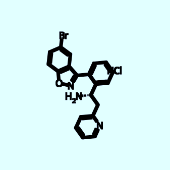 Cl.N[C@@H](Cc1ccccn1)c1ccccc1-c1noc2ccc(Br)cc12